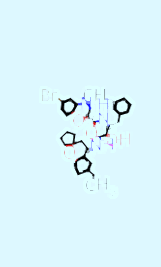 CCc1ccc2c(c1)[C@@H](NC[C@@H](O)[C@H](Cc1ccccc1)NC(=O)[C@@H]1CN(C)c3cc(Br)ccc3O1)CC1(CCCC1)O2